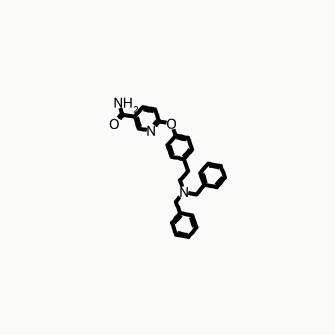 NC(=O)c1ccc(Oc2ccc(CCN(Cc3ccccc3)Cc3ccccc3)cc2)nc1